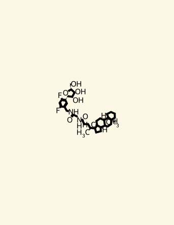 C[C@H](CCC(=O)NCC(=O)NCc1cc([C@@H]2O[C@H](CO)C(O)[C@@H]2O)c(F)cc1F)C1CC[C@@H]2C3CC[C@H]4CCCC[C@@]4(C)[C@@H]3CC[C@@]12C